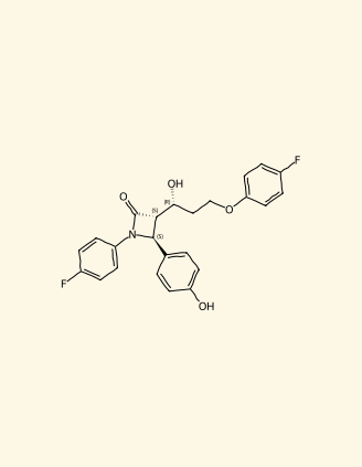 O=C1[C@H]([C@H](O)CCOc2ccc(F)cc2)[C@@H](c2ccc(O)cc2)N1c1ccc(F)cc1